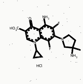 CC1(N)CCN(c2c(F)c(N)c3c(=O)c(C(=O)O)cn(C4CC4)c3c2F)C1.Cl